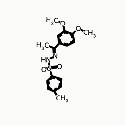 COc1ccc(C(C)=NNS(=O)(=O)c2ccc(C)cc2)cc1OC